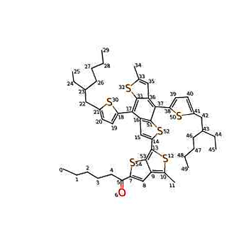 CCCCCC(=O)c1cc2c(C)sc(-c3cc4c(-c5ccc(CC(CC)CCCC)s5)c5sc(C)cc5c(-c5ccc(CC(CC)CCCC)s5)c4s3)c2s1